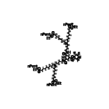 CCCCCC(CC)OC(=O)CCCCCCCCN(CCCCCCCCC(=O)OC(CC)CCCCC)CCCCNC(=O)c1cc(C(=O)NCCCCN(CCCCCCCCC(=O)OC(CC)CCCCC)CCCCCCCCC(=O)OC(CC)CCCCC)cc(C(=O)Oc2c(F)c(F)c(F)c(F)c2F)c1